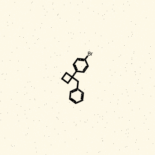 Brc1ccc(C2(Cc3ccccc3)CCC2)cc1